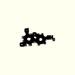 Bc1ccc2c(c1)oc1c(Cl)cc(Cl)cc12